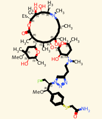 CC[C@H]1OC(=O)[C@H](C)[C@@H](C2C[C@@](C)(OC)[C@@H](O)[C@H](C)O2)[C@H](C)[C@@H](O[C@@H]2O[C@H](C)C[C@H](N(C)CCc3cn([C@H](CF)[C@H](OC)c4ccc(SCC(N)=O)cc4)nn3)[C@H]2O)[C@](C)(O)C[C@@H](C)CN(C)[C@H](C)[C@@H](O)[C@]1(C)O